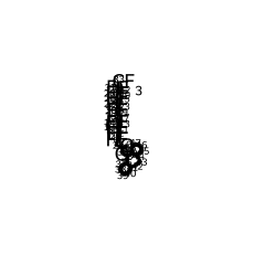 O=C(CC(F)(F)C(F)(F)C(F)(F)C(F)(F)C(F)(F)C(F)(F)C(F)(F)C(F)(F)C(F)(F)C(F)(F)C(F)(F)F)OC1c2ccccc2C=Cc2ccccc21